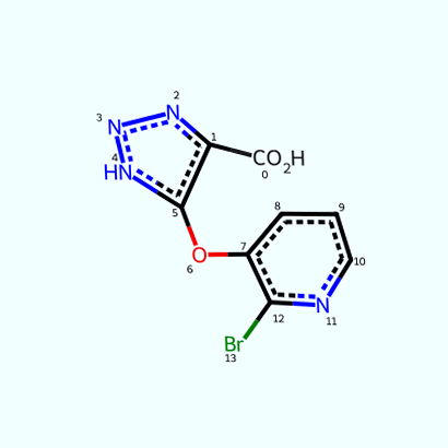 O=C(O)c1nn[nH]c1Oc1cccnc1Br